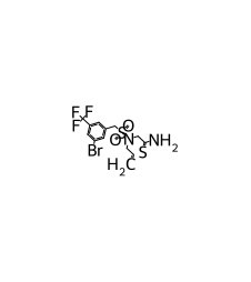 C=CCN(CC(N)=S)S(=O)(=O)Cc1cc(Br)cc(C(F)(F)F)c1